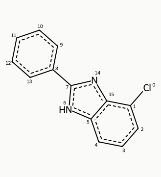 Clc1cccc2[nH]c(-c3ccccc3)nc12